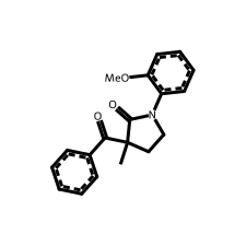 COc1ccccc1N1CCC(C)(C(=O)c2ccccc2)C1=O